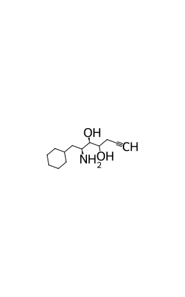 C#CCC(O)[C@H](O)[C@@H](N)CC1CCCCC1